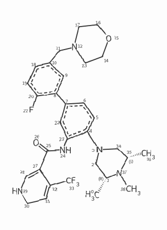 C[C@@H]1CN(c2ccc(-c3cc(CN4CCOCC4)ccc3F)cc2NC(=O)C2=CNCC=C2C(F)(F)F)C[C@H](C)N1C